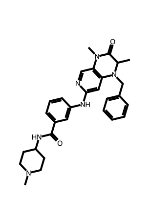 CC1C(=O)N(C)c2cnc(Nc3cccc(C(=O)NC4CCN(C)CC4)c3)cc2N1Cc1ccccc1